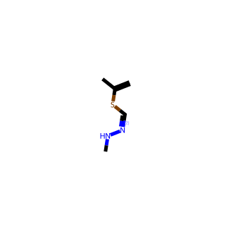 C=C(C)S/C=N\NC